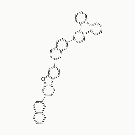 c1ccc2cc(-c3ccc4c(c3)oc3cc(-c5ccc6ccc(-c7ccc8c9ccccc9c9ccccc9c8c7)cc6c5)ccc34)ccc2c1